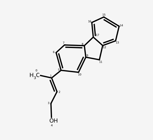 CC(=CCO)c1ccc2c(c1)Cc1ccccc1-2